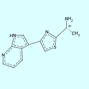 C[C@@H](N)c1nc(-c2c[nH]c3ncccc23)cs1